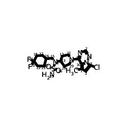 Cc1cc(Cl)n2ncnc(N3CCC(N(CC4CCC(F)(F)CC4)S(N)(=O)=O)CC3)c12